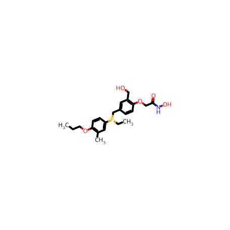 CCCOc1ccc(P(CC)Cc2ccc(OCC(=O)NO)c(CO)c2)cc1C